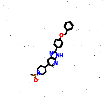 C[S+]([O-])N1CCC(c2cnc3[nH]c(-c4ccc(OCc5ccccc5)cc4)nc3c2)CC1